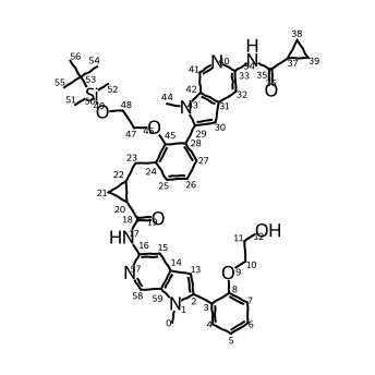 Cn1c(-c2ccccc2OCCO)cc2cc(NC(=O)C3CC3Cc3cccc(-c4cc5cc(NC(=O)C6CC6)ncc5n4C)c3OCCO[Si](C)(C)C(C)(C)C)ncc21